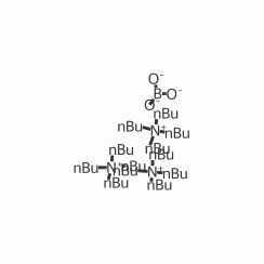 CCCC[N+](CCCC)(CCCC)CCCC.CCCC[N+](CCCC)(CCCC)CCCC.CCCC[N+](CCCC)(CCCC)CCCC.[O-]B([O-])[O-]